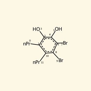 CCCc1c(O)c(O)c(Br)c(Br)c1CCC